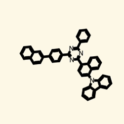 c1ccc(-c2nc(-c3ccc(-c4ccc5ccccc5c4)cc3)nc(-c3ccc(-n4c5ccccc5c5ccccc54)c4ccccc34)n2)cc1